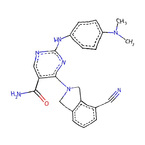 CN(C)c1ccc(Nc2ncc(C(N)=O)c(N3Cc4cccc(C#N)c4C3)n2)cc1